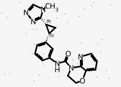 Cn1cnnc1[C@@H]1C[C@@H]1c1cccc(NC(=O)N2CCOc3cccnc32)c1